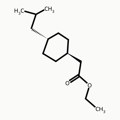 CCOC(=O)C[C@H]1CC[C@H](CC(C)C)CC1